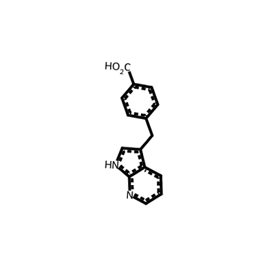 O=C(O)c1ccc(Cc2c[nH]c3ncccc23)cc1